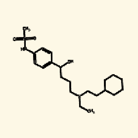 CCN(CCCC(O)c1ccc(NS(C)(=O)=O)cc1)CCC1CCCCC1